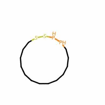 C1CCCCCCPPSSCCCCCC1